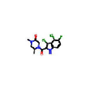 C[C@H]1CN(C)C(=O)CN1C(=O)c1[nH]c2ccc(F)c(Cl)c2c1Cl